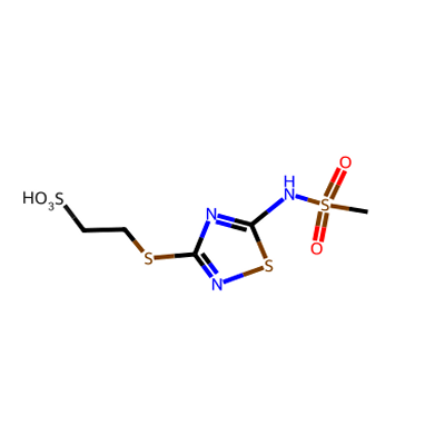 CS(=O)(=O)Nc1nc(SCCS(=O)(=O)O)ns1